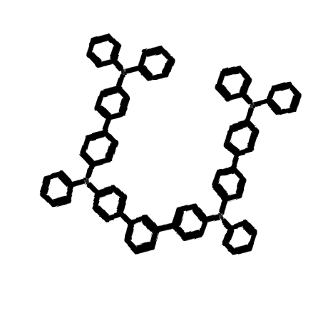 C1=CC(N(c2ccccc2)c2ccc(-c3cccc(-c4ccc(N(c5ccccc5)c5ccc(-c6ccc(N(c7ccccc7)c7ccccc7)cc6)cc5)cc4)c3)cc2)CC=C1c1ccc(N(c2ccccc2)c2ccccc2)cc1